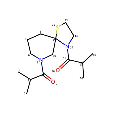 CC(C)C(=O)N1CCCC2(C1)SCCN2C(=O)C(C)C